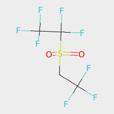 O=S(=O)(CC(F)(F)F)C(F)(F)C(F)(F)F